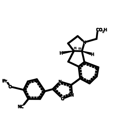 CC(C)Oc1ccc(-c2nc(-c3cccc4c3C[C@@H]3CCN(CC(=O)O)[C@H]43)no2)cc1C#N